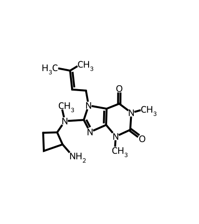 CC(C)=CCn1c(N(C)C2CCC2N)nc2c1c(=O)n(C)c(=O)n2C